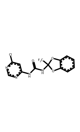 O=C(Nc1cc(Cl)ncn1)NC1(C(F)(F)F)Oc2ccccc2O1